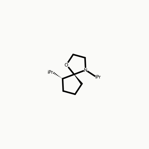 CC(C)[C@H]1CCC[C@]12OCCN2C(C)C